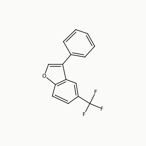 FC(F)(F)c1ccc2occ(-c3ccccc3)c2c1